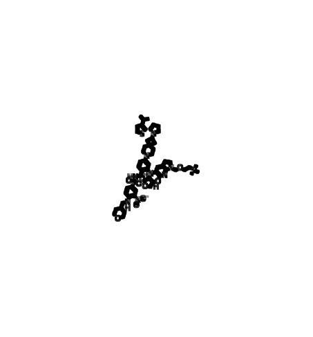 CC(C)c1ccsc1[C@@H]1CCCN1C1CC2(CCN(c3ccc(C(=O)NS(=O)(=O)c4ccc(NCC5CCOCC5)c([N+](=O)[O-])c4)c(N4c5cc6ccn(COCC[Si](C)(C)C)c6nc5O[C@@H]5COC[C@H]54)c3)CC2)C1